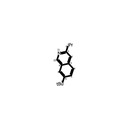 CC(C)c1cc2ccc(C(C)(C)C)cc2cn1